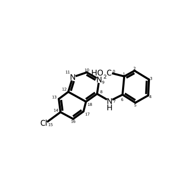 O=C(O)c1ccccc1Nc1ncnc2cc(Cl)ccc12